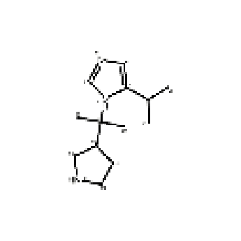 CC(C)C1=CN=C[SH]1C(C)(C)C1CCNC1